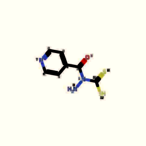 NN(C(=O)c1ccncc1)C(=S)S